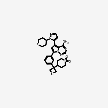 Nc1ncnn2c(-c3cccc(C4(C5CCS(=O)(=O)CC5)COC4)c3)cc(-c3ccnn3C3CCOCC3)c12